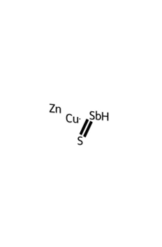 [Cu].[S]=[SbH].[Zn]